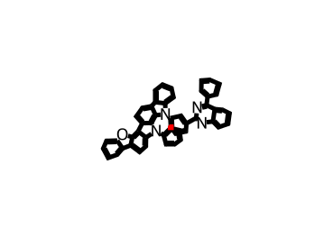 c1ccc(-c2nc(-c3cccc(-n4c5ccccc5c5ccc6c7c8oc9ccccc9c8ccc7n(-c7ccccc7)c6c54)c3)nc3ccccc23)cc1